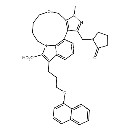 Cn1nc(CN2CCCC2=O)c2c1COCCCCn1c(C(=O)O)c(CCCOc3cccc4ccccc34)c3cccc-2c31